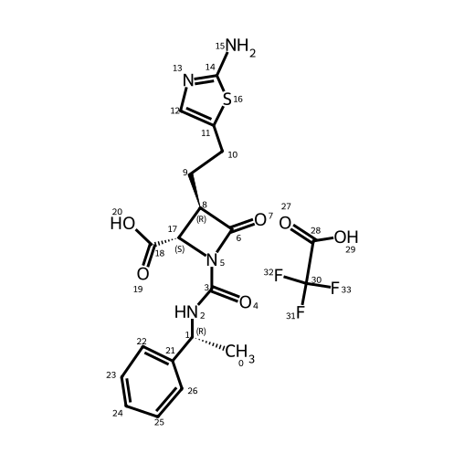 C[C@@H](NC(=O)N1C(=O)[C@H](CCc2cnc(N)s2)[C@H]1C(=O)O)c1ccccc1.O=C(O)C(F)(F)F